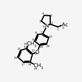 CC(=O)CC1CCCN1c1ccc(Oc2c(C)cccc2C)cc1